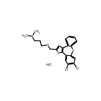 CN(C)CCCOCc1cc2c(s1)-c1cc(Cl)c(Cl)cc1Sc1ccccc1-2.Cl